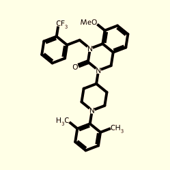 COc1cccc2c1N(Cc1ccccc1C(F)(F)F)C(=O)N(C1CCN(c3c(C)cccc3C)CC1)C2